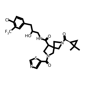 CC1(C)C[C@@H]1C(=O)N1CC2(CN(C(=O)c3cncs3)CC2C(=O)NCC(O)Cc2ccc(Cl)c(C(F)(F)F)c2)C1